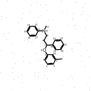 Cc1cccc(OC(CCN(C)c2ccccc2)c2ccccc2)c1